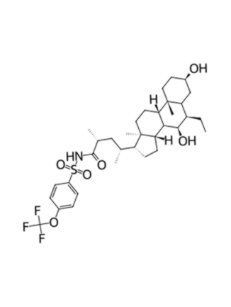 CC[C@@H]1C2C[C@H](O)CC[C@@]2(C)[C@H]2CC[C@]3(C)[C@@H]([C@H](C)C[C@@H](C)C(=O)NS(=O)(=O)c4ccc(OC(F)(F)F)cc4)CC[C@H]3C2[C@@H]1O